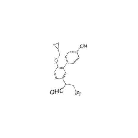 CC(C)CC(C=O)c1ccc(OCC2CC2)c(-c2ccc(C#N)cc2)c1